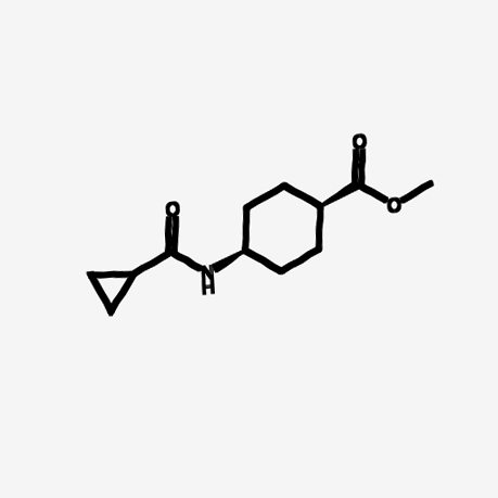 COC(=O)[C@H]1CC[C@@H](NC(=O)C2CC2)CC1